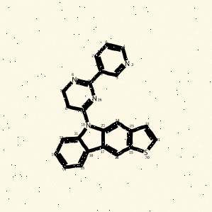 c1cncc(C2=NCCC(n3c4ccccc4c4cc5sccc5cc43)=N2)c1